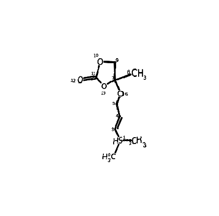 C[SH](C)/C=C/COC1(C)COC(=O)O1